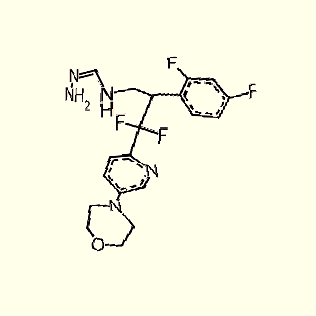 N/N=C\NCC(c1ccc(F)cc1F)C(F)(F)c1ccc(N2CCOCC2)cn1